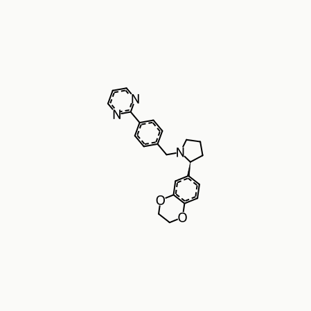 c1cnc(-c2ccc(CN3CCC[C@H]3c3ccc4c(c3)OCCO4)cc2)nc1